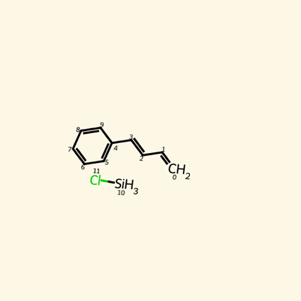 C=CC=Cc1ccccc1.[SiH3]Cl